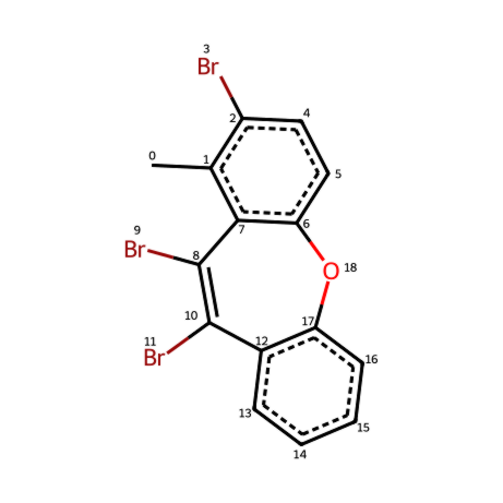 Cc1c(Br)ccc2c1C(Br)=C(Br)c1ccccc1O2